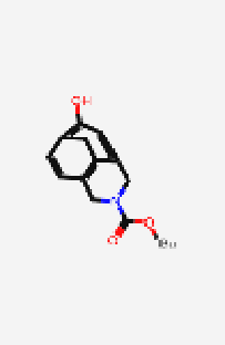 CC(C)(C)OC(=O)N1CC2=CC(O)=C3C=CC(=C2C3)C1